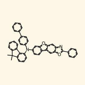 CC1(C)c2ccccc2-c2c(N(c3ccc(-c4ccccc4)cc3)c3ccc4c(c3)oc3cc5nc(-c6ccccc6)oc5cc34)cccc21